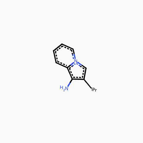 CC(C)c1cn2ccccc2c1N